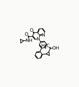 C=C(O)C1CC1c1ccccc1-c1cccc(-n2cc(C(=O)NC3CC3)c(=O)c3cccnc32)c1